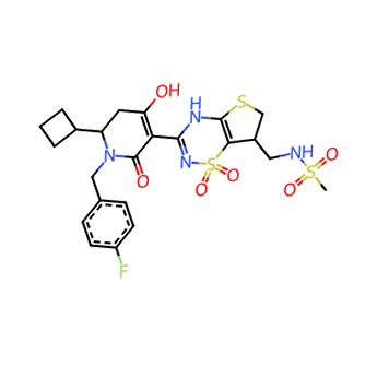 CS(=O)(=O)NCC1CSC2=C1S(=O)(=O)N=C(C1=C(O)CC(C3CCC3)N(Cc3ccc(F)cc3)C1=O)N2